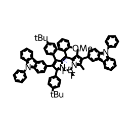 COc1ccccc1/C(=C1/N=C(c2ccc(C(C)(C)C)cc2)C(c2ccc3c(c2)c2ccccc2n3-c2ccccc2)=C1c1ccc(C(C)(C)C)cc1)c1c(C)c(-c2ccc3c(c2)c2ccccc2n3-c2ccccc2)c(C)n1B(F)F